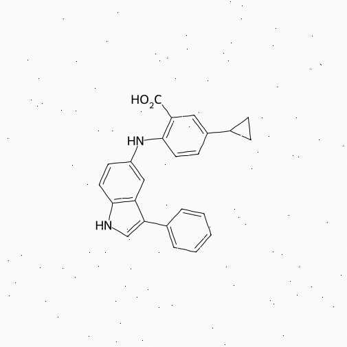 O=C(O)c1cc(C2CC2)ccc1Nc1ccc2[nH]cc(-c3ccccc3)c2c1